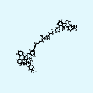 N=c1c2c(-c3ccccc3)c(-c3ccccc3)n(Cc3cccc(C#CCCCCC(=O)NCCCCCCCNc4cccc5c4C(=O)N(C4CCC(=O)NC4=O)C5=O)c3)c2ncn1C1CCC(O)CC1